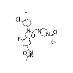 Cc1nnc(-c2ccc(CN(C(=O)CN3CCN(C(=O)C4CC4)CC3)c3ccc(F)c(Cl)c3)c(F)c2)o1